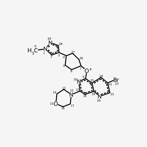 Cn1cc(C2CCC(Oc3nc(N4CCOCC4)cc4ncc(Br)cc34)CC2)cn1